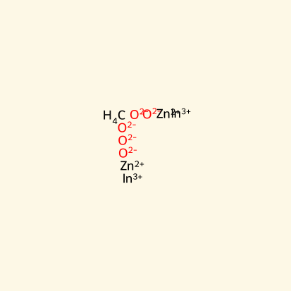 C.[In+3].[In+3].[O-2].[O-2].[O-2].[O-2].[O-2].[Zn+2].[Zn+2]